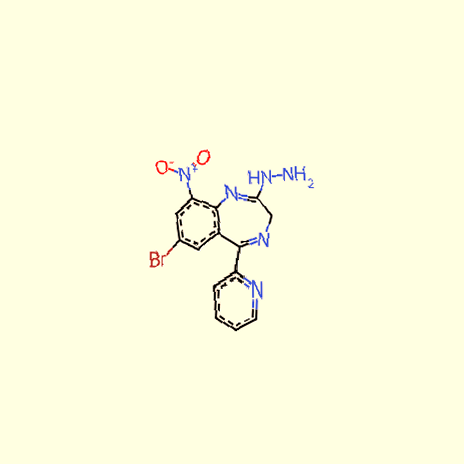 NNC1=Nc2c(cc(Br)cc2[N+](=O)[O-])C(c2ccccn2)=NC1